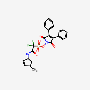 CC1C=CC(NC(=O)C(F)(F)S(=O)(=O)ON2C(=O)C(c3ccccc3)=C(c3ccccc3)C2=O)C1